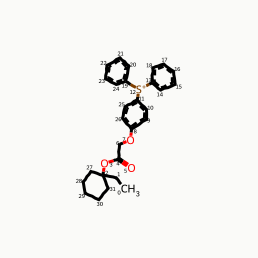 CCC1(OC(=O)COc2ccc([S+](c3ccccc3)c3ccccc3)cc2)CCCCC1